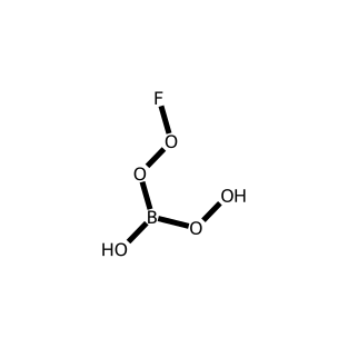 OOB(O)OOF